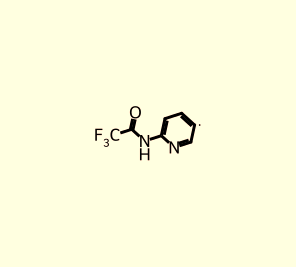 O=C(Nc1cc[c]cn1)C(F)(F)F